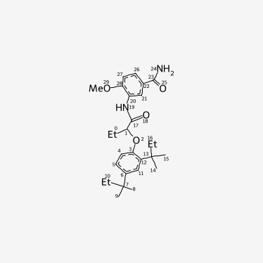 CCC(Oc1ccc(C(C)(C)CC)cc1C(C)(C)CC)C(=O)Nc1cc(C(N)=O)ccc1OC